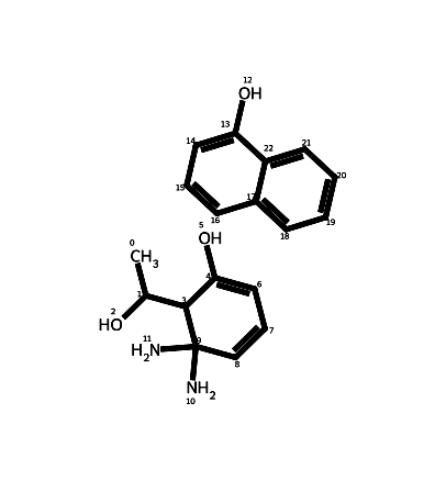 CC(O)C1C(O)=CC=CC1(N)N.Oc1cccc2ccccc12